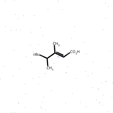 CCCCC(C)/C(C)=C/C(=O)O